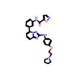 O=C(Nc1cccc(-c2cccc3nc(Nc4ccc(OCCN5CCCC5)cc4)nn23)c1)c1ccno1